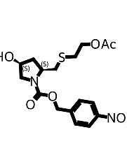 CC(=O)OCCSC[C@@H]1C[C@H](O)CN1C(=O)OCc1ccc([N+](=O)[O-])cc1